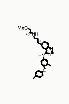 COCC(=O)NC/C=C/c1ccc2ncnc(Nc3ccc(Oc4ccc(C)cc4)c(C)c3)c2c1